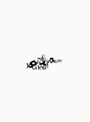 CCOc1nc(N2CC[C@@H](NC)C2)ncc1C(=O)Nc1ccc2nn(C)cc2c1.O=CO